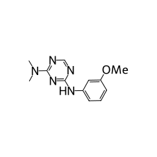 COc1cccc(Nc2ncnc(N(C)C)n2)c1